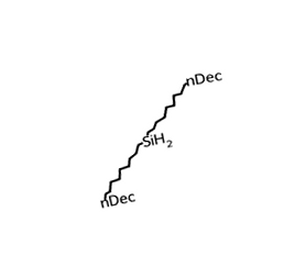 CCCCCCCCCCCCCCCCCCC[SiH2]CCCCCCCCCCCCCCCCCCC